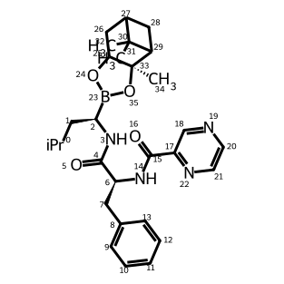 CC(C)C[C@H](NC(=O)[C@H](Cc1ccccc1)NC(=O)c1cnccn1)B1OC2CC3CC(C3(C)C)[C@@]2(C)O1